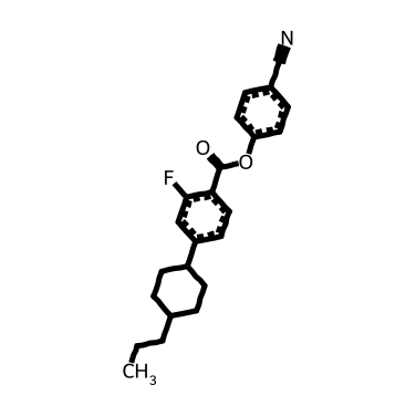 CCCC1CCC(c2ccc(C(=O)Oc3ccc(C#N)cc3)c(F)c2)CC1